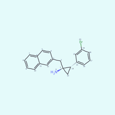 N[C@]1(Cc2ccc3ccccc3c2)C[C@H]1c1cccc(Br)c1